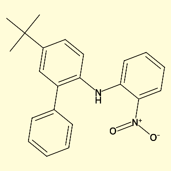 CC(C)(C)c1ccc(Nc2ccccc2[N+](=O)[O-])c(-c2ccccc2)c1